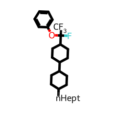 CCCCCCCC1CCC(C2CCC(C(F)(Oc3ccccc3)C(F)(F)F)CC2)CC1